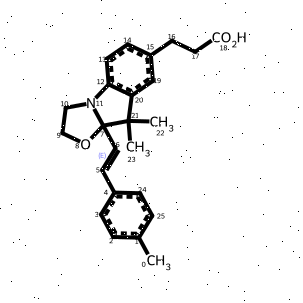 Cc1ccc(/C=C/C23OCCN2c2ccc(CCC(=O)O)cc2C3(C)C)cc1